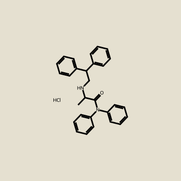 CC(NCC(c1ccccc1)c1ccccc1)C(=O)N(c1ccccc1)c1ccccc1.Cl